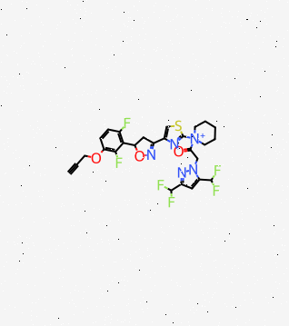 C#CCOc1ccc(F)c(C2CC(c3csc([N+]4(C(=O)Cn5nc(C(F)F)cc5C(F)F)CCCCC4)n3)=NO2)c1F